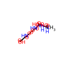 CN[C@@H](CCCCNC(=O)CC[C@H](NC(=O)CCC(=O)NCCCOCCOCCOCCCNC(=O)CCCCCCCCC(=O)O)C(=O)O)C(=O)O